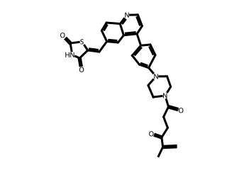 C=C(C)C(=O)CCC(=O)N1CCN(c2ccc(-c3ccnc4ccc(/C=C5\SC(=O)NC5=O)cc34)cc2)CC1